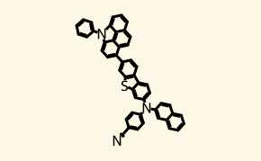 N#Cc1ccc(N(c2ccc3ccccc3c2)c2ccc3c(c2)sc2cc(-c4ccc5c6c4ccc4cccc(c46)n5-c4ccccc4)ccc23)cc1